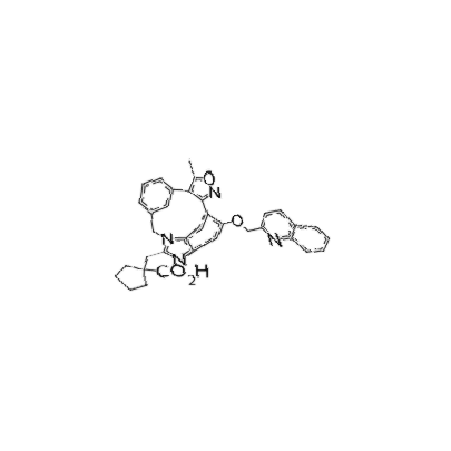 Cc1onc2c1-c1cccc(c1)Cn1c(CC3(C(=O)O)CCCC3)nc3cc(OCc4ccc5ccccc5n4)c-2cc31